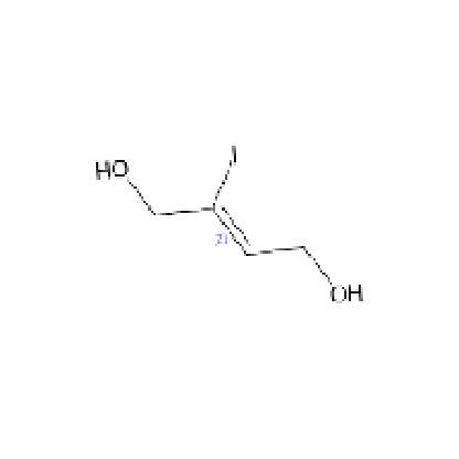 OC/C=C(\I)CO